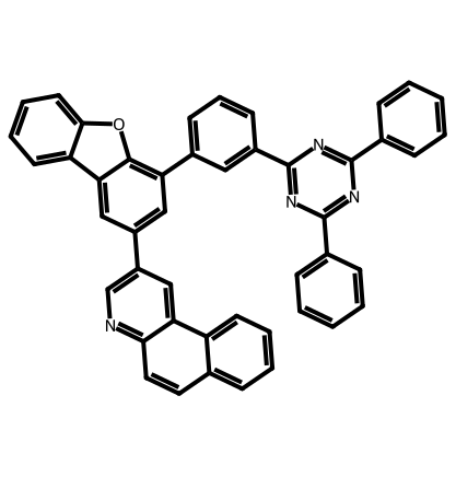 c1ccc(-c2nc(-c3ccccc3)nc(-c3cccc(-c4cc(-c5cnc6ccc7ccccc7c6c5)cc5c4oc4ccccc45)c3)n2)cc1